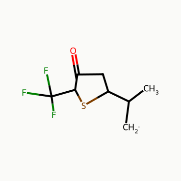 [CH2]C(C)C1CC(=O)C(C(F)(F)F)S1